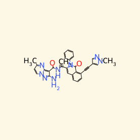 Cc1ccn2nc(N)c(C(=O)N[C@H](C)c3cc4cccc(C#Cc5cnn(C)c5)c4c(=O)n3-c3ccccc3)c2n1